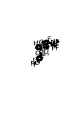 CC(C)n1nc(-c2c(F)cc(O)c3c2C(C)(C)CN3c2ccccc2NC(=O)Nc2ccc(OC(F)(F)F)cc2)cc1C(F)(F)F